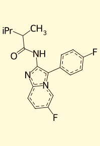 CC(C)C(C)C(=O)Nc1nc2ccc(F)cn2c1-c1ccc(F)cc1